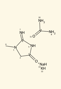 CN1CC(=O)NC1=N.NC(N)=O.[KH].[NaH]